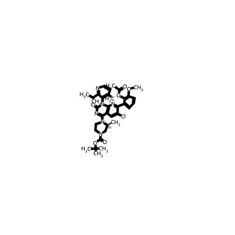 COc1cccc(-c2nc3c(cc2Cl)c(N2CCN(C(=O)OC(C)(C)C)C[C@@H]2C)nc(=O)n3-c2c(C)ccnc2C(C)C)c1OC(C)=O